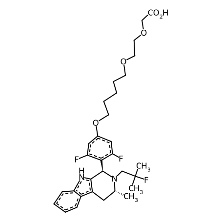 C[C@@H]1Cc2c([nH]c3ccccc23)[C@@H](c2c(F)cc(OCCCCCOCCOCC(=O)O)cc2F)N1CC(C)(C)F